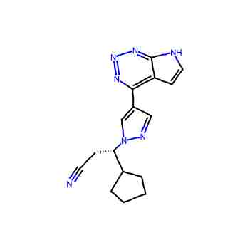 N#CC[C@@H](C1CCCC1)n1cc(-c2nnnc3[nH]ccc23)cn1